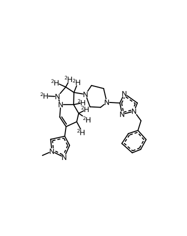 [2H]C1C(c2cnn(C)c2)=CN2N([2H])C([2H])([2H])C([2H])(N3CCN(c4ncn(Cc5ccccc5)n4)CC3)C2([2H])C1([2H])[2H]